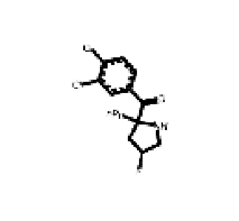 CCCC1(C(=O)c2ccc(Cl)c(Cl)c2)C[C@H](F)CN1